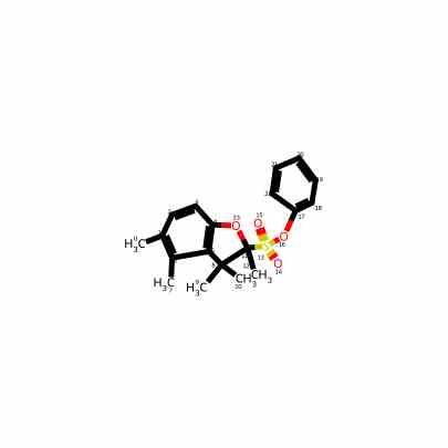 Cc1ccc2c(c1C)C(C)(C)C(C)(S(=O)(=O)Oc1ccccc1)O2